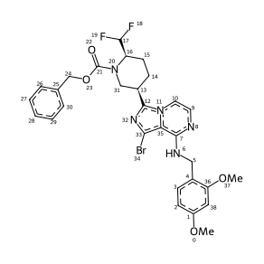 COc1ccc(CNc2nccn3c([C@@H]4CC[C@H](C(F)F)N(C(=O)OCc5ccccc5)C4)nc(Br)c23)c(OC)c1